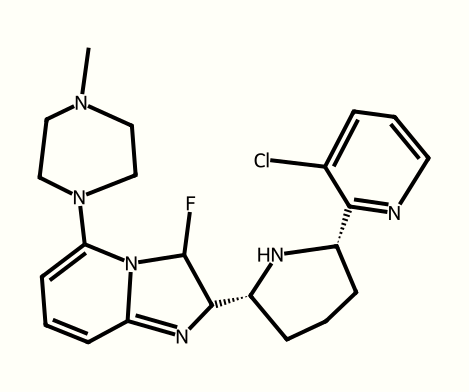 CN1CCN(C2=CC=CC3=NC([C@H]4CCC[C@@H](c5ncccc5Cl)N4)C(F)N23)CC1